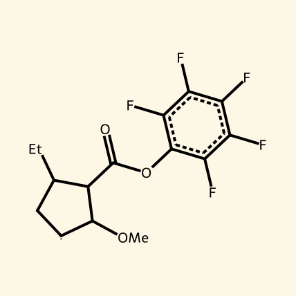 [CH2]CC1C[CH]C(OC)C1C(=O)Oc1c(F)c(F)c(F)c(F)c1F